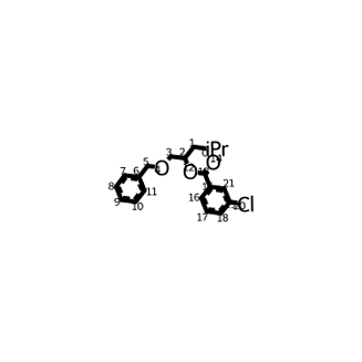 CC(C)CC(COCc1ccccc1)OC(=O)c1cccc(Cl)c1